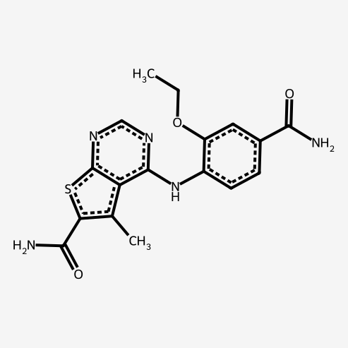 CCOc1cc(C(N)=O)ccc1Nc1ncnc2sc(C(N)=O)c(C)c12